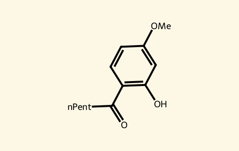 CCCCCC(=O)c1ccc(OC)cc1O